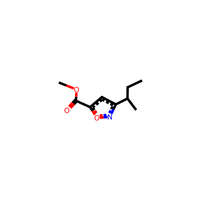 CCC(C)c1cc(C(=O)OC)on1